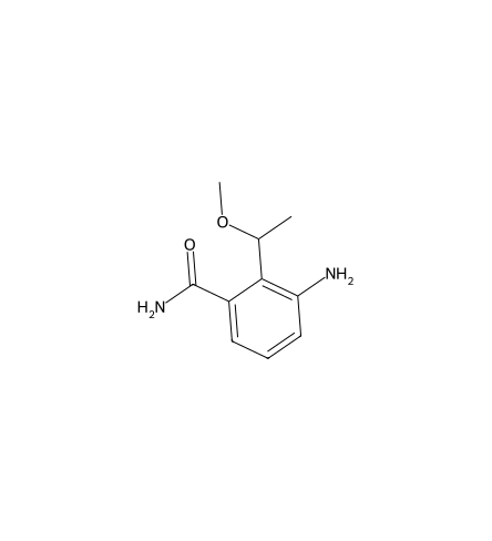 COC(C)c1c(N)cccc1C(N)=O